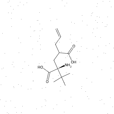 C=CCC(C[C@@](N)(C(=O)O)C(C)(C)C)C(=O)O